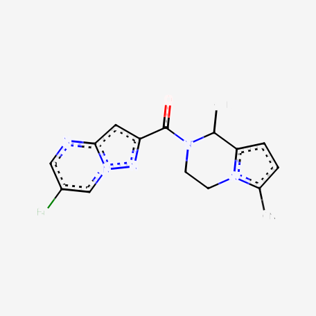 CC1c2ccc(C#N)n2CCN1C(=O)c1cc2ncc(Br)cn2n1